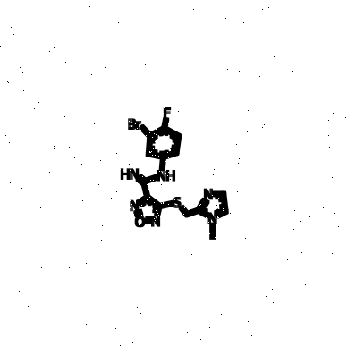 Cn1ccnc1CSc1nonc1C(=N)Nc1ccc(F)c(Br)c1